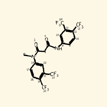 CN(C(=O)CC(=O)Nc1ccc(C(F)(F)F)c(C(F)(F)F)c1)c1ccc(C(F)(F)F)c(C(F)(F)F)c1